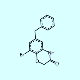 O=C1COc2c(Br)cc(Cc3ccccc3)cc2N1